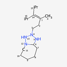 CC(CCN1NC2CCCCCN2N1)=C(C(C)C)C(C)C